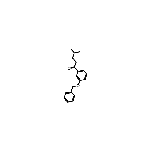 CC(C)CCC(=O)c1cccc(OCc2ccccc2)c1